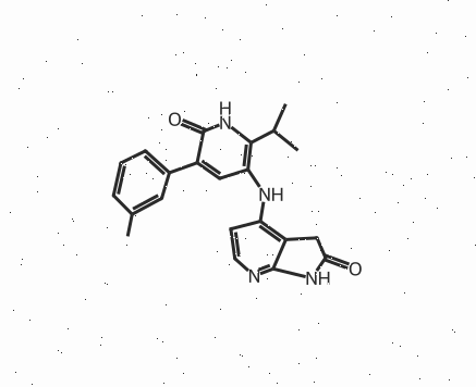 Cc1cccc(-c2cc(Nc3ccnc4c3CC(=O)N4)c(C(C)C)[nH]c2=O)c1